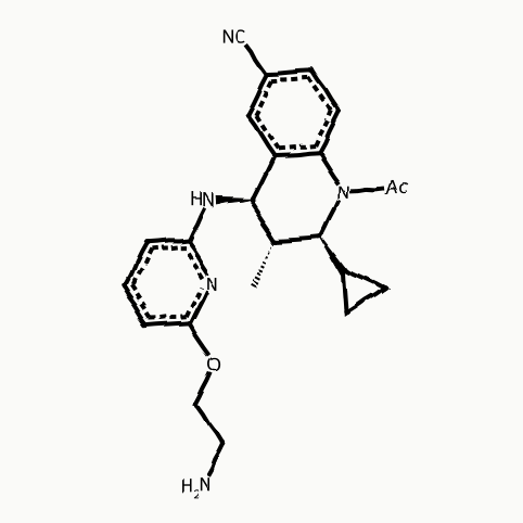 CC(=O)N1c2ccc(C#N)cc2[C@H](Nc2cccc(OCCN)n2)[C@@H](C)[C@@H]1C1CC1